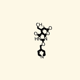 CCc1cc(=O)oc2nc(OCc3ccncc3)[nH]c(=O)c12